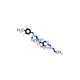 C/C=C(\C=N/CCNCCC)C(=O)N/C=C/N(/C=N\C)Cc1cc(F)c(C)c(F)c1